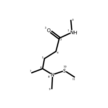 CNC(=O)CCC(C)N(C)SC